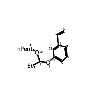 C=Cc1cccc(OC(CC)OCCCCC)c1